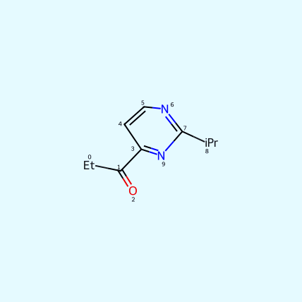 CCC(=O)c1ccnc(C(C)C)n1